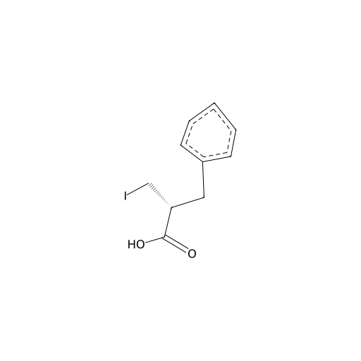 O=C(O)[C@H](CI)Cc1ccccc1